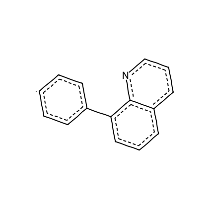 [c]1ccc(-c2cccc3cccnc23)cc1